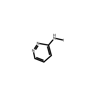 INc1cccnn1